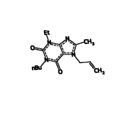 C=CCn1c(C)nc2c1c(=O)n(CCCC)c(=O)n2CC